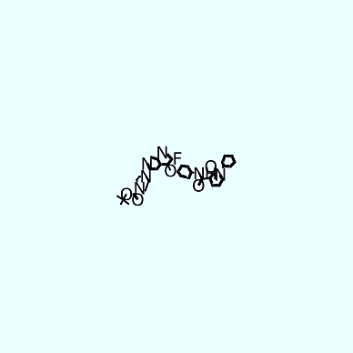 CC(C)(C)OC(=O)N1CCN(c2cc3c(Oc4ccc(NC(=O)c5cccn(-c6ccccc6)c5=O)cc4F)ccnc3cn2)CC1